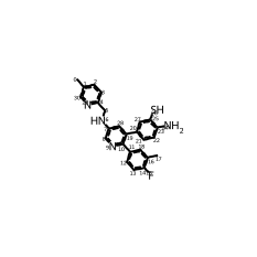 Cc1ccc(CNc2cnc(-c3ccc(F)c(C)c3)c(-c3ccc(N)c(S)c3)c2)nc1